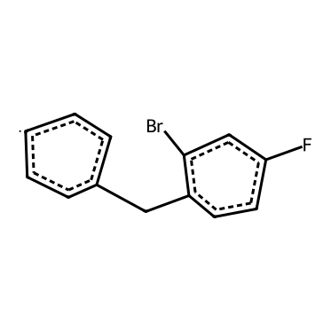 Fc1ccc(Cc2cc[c]cc2)c(Br)c1